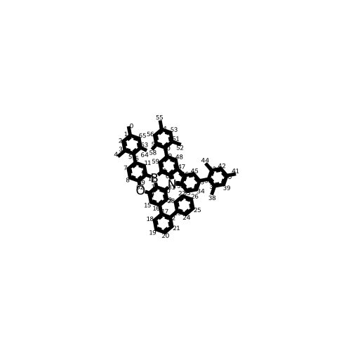 Cc1cc(C)c(-c2ccc3c(c2)B2c4c(cc(-c5ccccc5-c5ccccc5)cc4-n4c5ccc(-c6c(C)cc(C)cc6C)cc5c5cc(-c6c(C)cc(C)cc6C)cc2c54)O3)c(C)c1